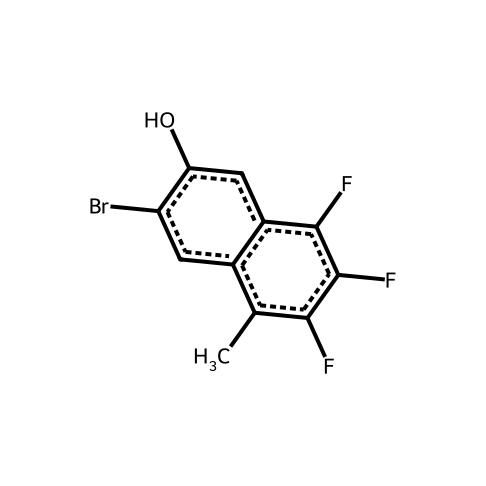 Cc1c(F)c(F)c(F)c2cc(O)c(Br)cc12